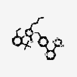 CCCCc1cn(-c2c(CC)cccc2C(C)(C)C)c(=O)n1Cc1ccc(-c2ncccc2-c2nnn[nH]2)cc1